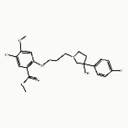 COC(=O)c1cc(Cl)c(OC)cc1OCCCN1CCC(O)(c2ccc(Cl)cc2)C1